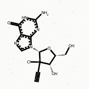 C#CC1(Cl)[C@@H](O)[C@@H](CO)O[C@H]1n1cnc2c(=O)[nH]c(N)nc21